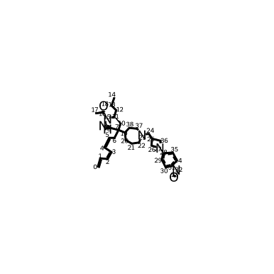 C=C/C=C\C=C/CC(C#N)(C[C@H](CCC)NC(C)=O)C1CCCN(CC2CN(c3ccc(N=O)cc3)C2)CC1